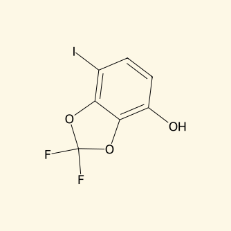 Oc1ccc(I)c2c1OC(F)(F)O2